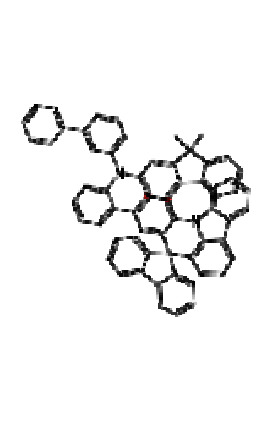 CC1(C)c2ccccc2-c2ccc(N(c3cccc(-c4ccccc4)c3)c3ccccc3-c3ccc4c(c3)C3(c5ccccc5-c5ccccc53)c3cccc5c6ccccc6n-4c35)cc21